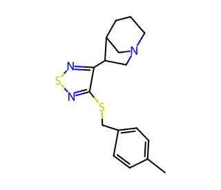 Cc1ccc(CSc2nsnc2C2CN3CCCC2C3)cc1